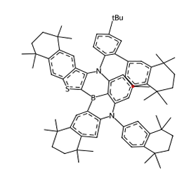 Cc1cc2c3c(c1)N(c1ccc(C(C)(C)C)cc1-c1ccc4c(c1)C(C)(C)CCC4(C)C)c1c(sc4cc5c(cc14)C(C)(C)CCC5(C)C)B3c1cc3c(cc1N2c1ccc2c(c1)C(C)(C)CCC2(C)C)C(C)(C)CCC3(C)C